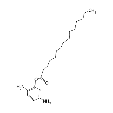 CCCCCCCCCCCCCCC(=O)Oc1cc(N)ccc1N